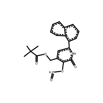 CC(C)(C)C(=O)OCc1cc(-c2cccc3ccccc23)[nH]c(=O)c1O[PH2]=O